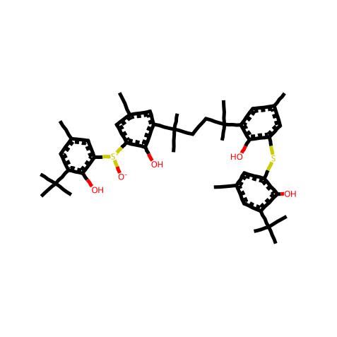 Cc1cc(Sc2cc(C)cc(C(C)(C)CCC(C)(C)c3cc(C)cc([S+]([O-])c4cc(C)cc(C(C)(C)C)c4O)c3O)c2O)c(O)c(C(C)(C)C)c1